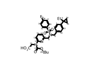 CCC1(c2ccc(CN(Cc3cccc(N(CC(=O)O)C(=O)OC(C)(C)C)n3)S(=O)(=O)c3ccc(F)cc3)cc2)CC1